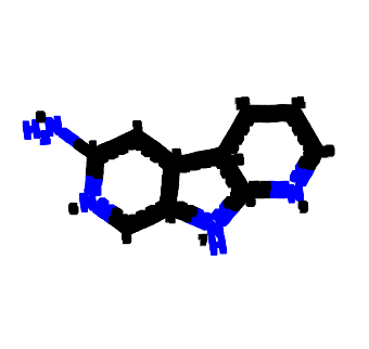 Nc1cc2c(cn1)[nH]c1ncccc12